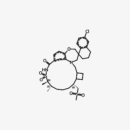 C[C@@H]1[C@@H](C)CCC[C@@H](CS(C)(=O)=O)C2CCC2CN2CC3(CCCc4cc(Cl)ccc43)COc3ccc(cc32)C(=O)NS1(=O)=O